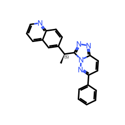 C[C@@H](c1ccc2ncccc2c1)c1nnc2ccc(-c3ccccc3)nn12